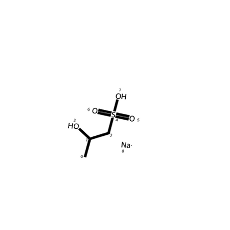 CC(O)CS(=O)(=O)O.[Na]